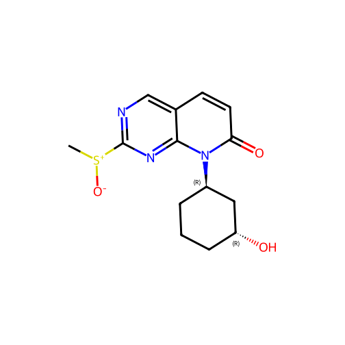 C[S+]([O-])c1ncc2ccc(=O)n([C@@H]3CCC[C@@H](O)C3)c2n1